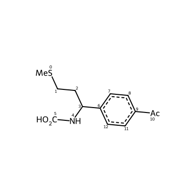 CSCCC(NC(=O)O)c1ccc(C(C)=O)cc1